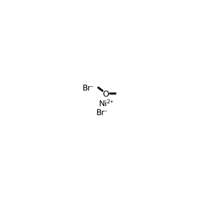 COC.[Br-].[Br-].[Ni+2]